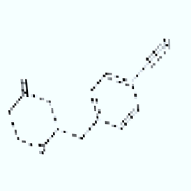 N#Cc1ccc(CC2CNCCO2)cc1